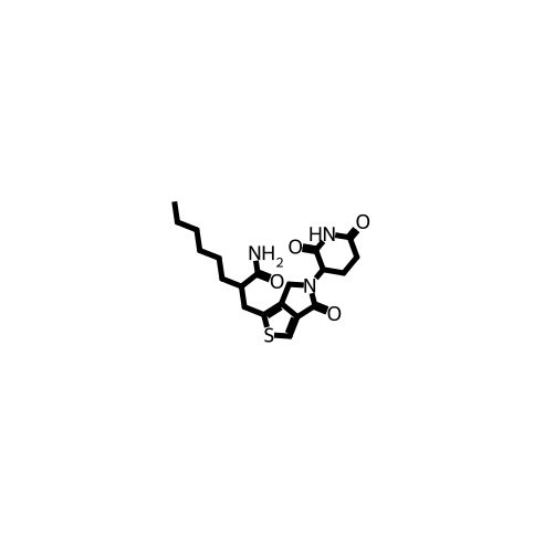 CCCCCCC(Cc1scc2c1CN(C1CCC(=O)NC1=O)C2=O)C(N)=O